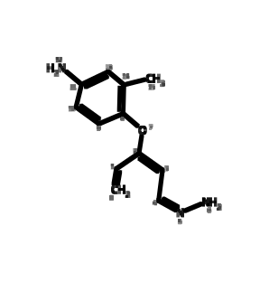 C=C/C(=C\C=N/N)Oc1ccc(N)cc1C